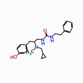 CN(CC1CC1)C(CNC(=O)NCCc1ccccc1)Cc1ccc(O)cc1